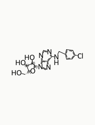 OC[C@H]1O[C@@H](n2cnc3c(NCc4ccc(Cl)cc4)ncnc32)[C@H](O)[C@@H]1O